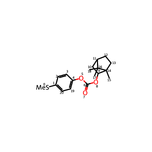 CSc1ccc(OC(=O)OC2CC3CCC2(C)C3(C)C)cc1